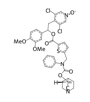 COc1ccc(C(Cc2c(Cl)c[n+]([O-])cc2Cl)OC(=O)c2ccc(CN(C(=O)O[C@H]3CN4CCC3CC4)c3ccccc3)s2)cc1OC